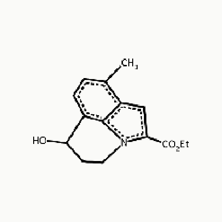 CCOC(=O)c1cc2c(C)ccc3c2n1CCC3O